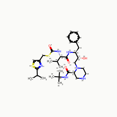 CC(C)c1nc(CSC(=O)N[C@H](C(=O)N[C@@H](Cc2ccccc2)[C@H](O)CN2CCNC[C@H]2C(=O)NC(C)(C)C)C(C)C)cs1